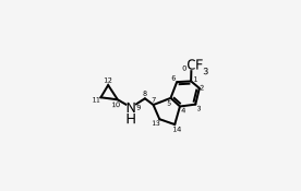 FC(F)(F)c1ccc2c(c1)C(CNC1CC1)CC2